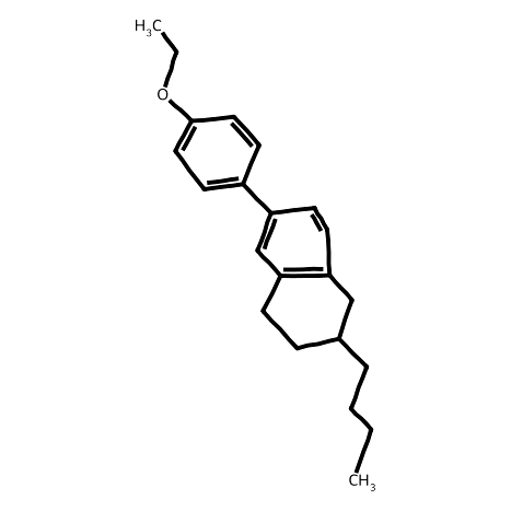 CCCCC1CCc2cc(-c3ccc(OCC)cc3)ccc2C1